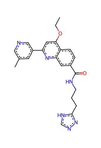 CCOc1cc(-c2cncc(C)c2)nc2cc(C(=O)NCCCc3nnc[nH]3)ccc12